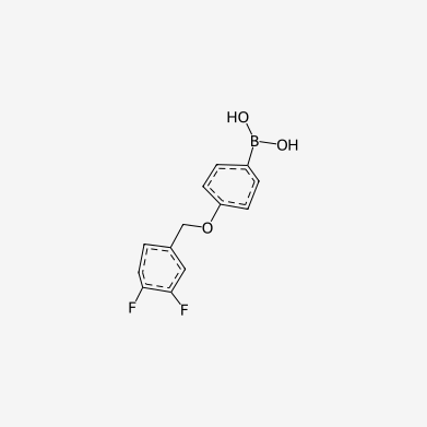 OB(O)c1ccc(OCc2ccc(F)c(F)c2)cc1